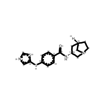 O=C(N[C@@H]1C[C@@H]2CCN(C2)C1)c1ccc(Sc2cncs2)cc1